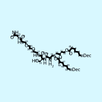 CCCCCCCCCCCCCC[C@@H](C)C(=O)OCC[C@H](CSC[C@H](N)C(=O)N[C@@H](CO)C(=O)NCCOCCOCCC(=O)NCC(N)=O)OC(=O)[C@H](C)CCCCCCCCCCCCCC